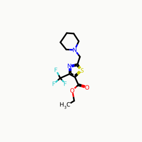 CCOC(=O)c1sc(CN2CCCCC2)nc1C(F)(F)F